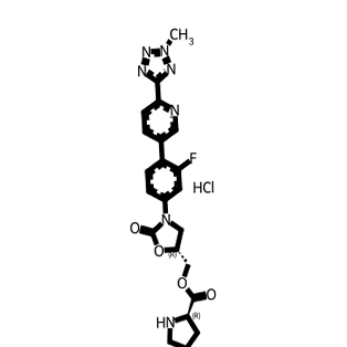 Cl.Cn1nnc(-c2ccc(-c3ccc(N4C[C@H](COC(=O)[C@H]5CCCN5)OC4=O)cc3F)cn2)n1